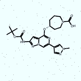 Cn1cc(-c2cn3nc(NC(=O)OC(C)(C)C)cc3c(O[C@@H]3CCCN(C(=O)O)CC3)n2)cn1